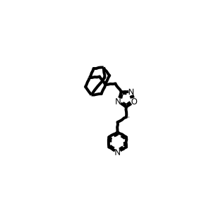 [CH](Cc1ccncc1)c1nc(CC23CC4CC(CC(C4)C2)C3)no1